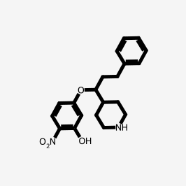 O=[N+]([O-])c1ccc(OC(CCc2ccccc2)C2CCNCC2)cc1O